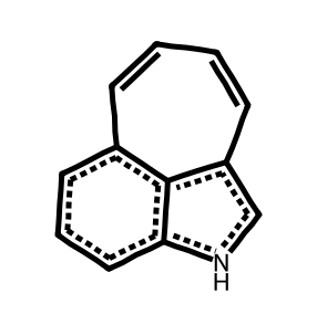 C1=Cc2cccc3[nH]cc(c23)C=C1